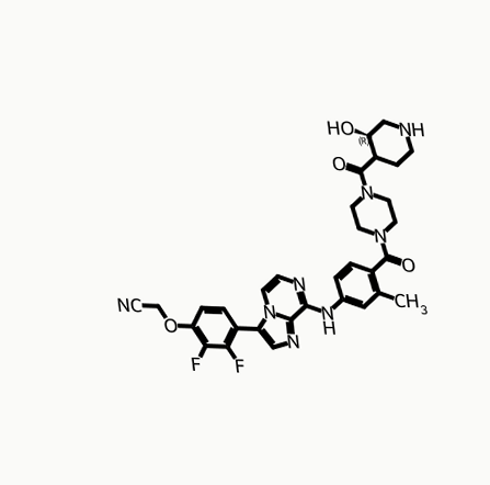 Cc1cc(Nc2nccn3c(-c4ccc(OCC#N)c(F)c4F)cnc23)ccc1C(=O)N1CCN(C(=O)C2CCNC[C@@H]2O)CC1